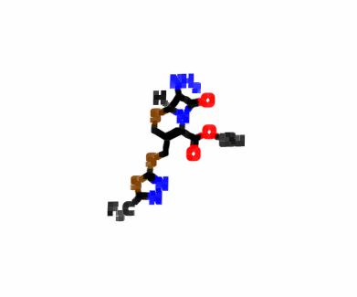 CC(C)(C)OC(=O)C1=C(CSc2nnc(C(F)(F)F)s2)CS[C@H]2C(N)C(=O)N12